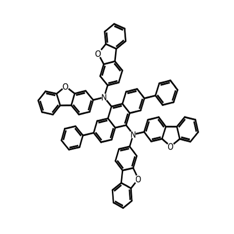 c1ccc(-c2ccc3c(N(c4ccc5c(c4)oc4ccccc45)c4ccc5c(c4)oc4ccccc45)c4cc(-c5ccccc5)ccc4c(N(c4ccc5c(c4)oc4ccccc45)c4ccc5c(c4)oc4ccccc45)c3c2)cc1